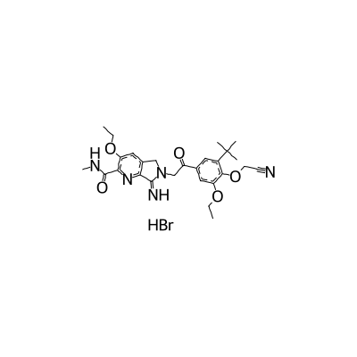 Br.CCOc1cc2c(nc1C(=O)NC)C(=N)N(CC(=O)c1cc(OCC)c(OCC#N)c(C(C)(C)C)c1)C2